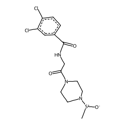 C[S+]([O-])N1CCN(C(=O)CNC(=O)c2ccc(Cl)c(Cl)c2)CC1